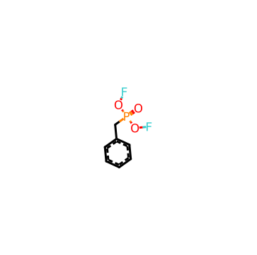 O=P(Cc1ccccc1)(OF)OF